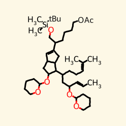 CC=CC(CC(CCC=C(C)C)C1C(OC2CCCCO2)CC2C=C(C(CCCCOC(C)=O)CO[Si](C)(C)C(C)(C)C)CC21)OC1CCCCO1